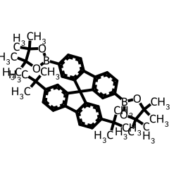 CC(C)(C)c1ccc2c(c1)C1(c3cc(B4OC(C)(C)C(C)(C)O4)ccc3-c3ccc(B4OC(C)(C)C(C)(C)O4)cc31)c1cc(C(C)(C)C)ccc1-2